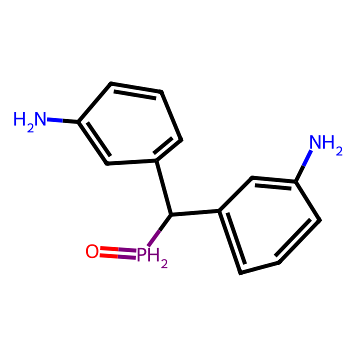 Nc1cccc(C([PH2]=O)c2cccc(N)c2)c1